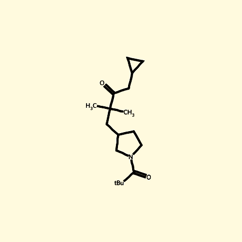 CC(C)(C)C(=O)N1CCC(CC(C)(C)C(=O)CC2CC2)C1